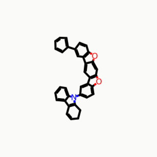 C1=Cc2c(n(-c3ccc4oc5cc6oc7ccc(-c8ccccc8)cc7c6cc5c4c3)c3ccccc23)CC1